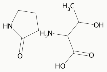 CC(O)C(N)C(=O)O.O=C1CCCN1